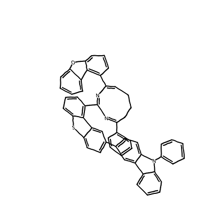 C1=C(c2cccc3oc4ccccc4c23)/N=C(c2cccc3sc4ccc(-c5ccc6c(c5)c5ccccc5n6-c5ccccc5)cc4c23)\N=C(\c2ccccc2)CCC\1